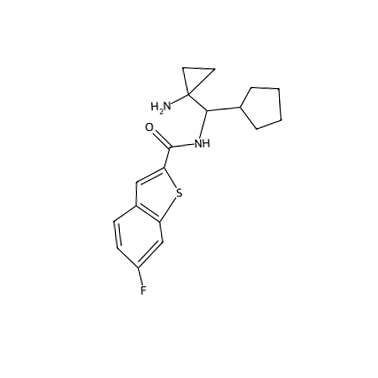 NC1(C(NC(=O)c2cc3ccc(F)cc3s2)C2CCCC2)CC1